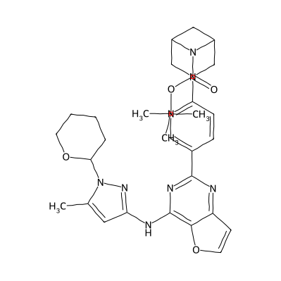 Cc1cc(Nc2nc(-c3ccc(N4CC5CC(C4)N5C(=O)OC(C)(C)C)nc3)nc3ccoc23)nn1C1CCCCO1